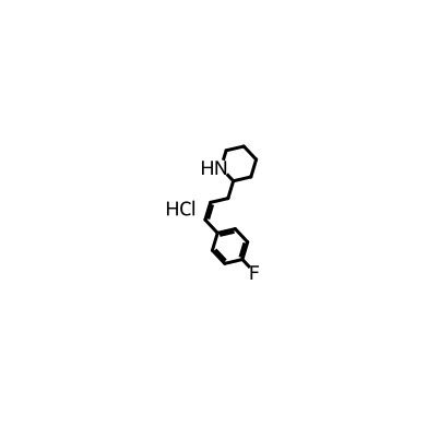 Cl.Fc1ccc(/C=C\CC2CCCCN2)cc1